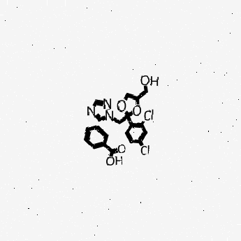 O=C(O)c1ccccc1.OCC1COC(Cn2cncn2)(c2ccc(Cl)cc2Cl)O1